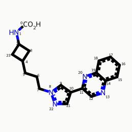 O=C(O)NC1CC(CCCn2cc(-c3cnc4ccccc4n3)cn2)C1